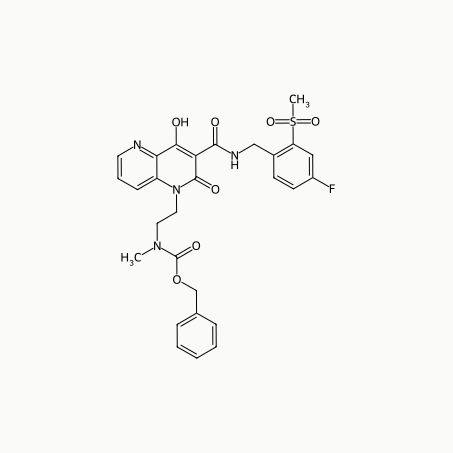 CN(CCn1c(=O)c(C(=O)NCc2ccc(F)cc2S(C)(=O)=O)c(O)c2ncccc21)C(=O)OCc1ccccc1